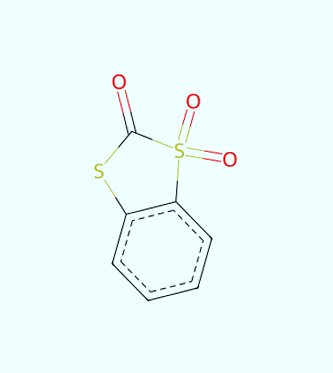 O=C1Sc2ccccc2S1(=O)=O